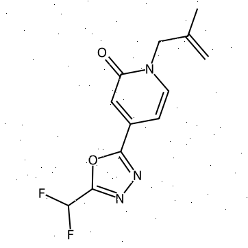 C=C(C)Cn1ccc(-c2nnc(C(F)F)o2)cc1=O